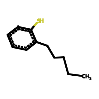 CCCCCc1ccc[c]c1S